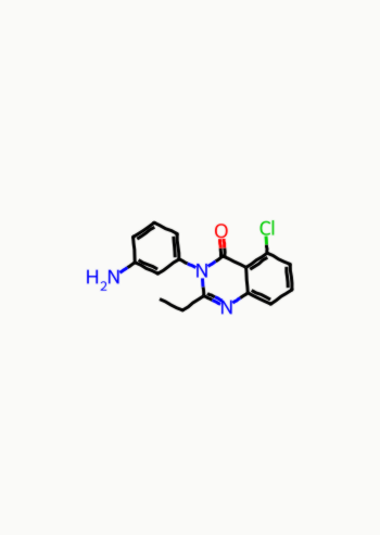 CCc1nc2cccc(Cl)c2c(=O)n1-c1cccc(N)c1